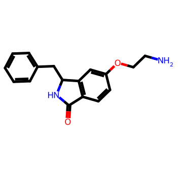 NCCOc1ccc2c(c1)C(Cc1ccccc1)NC2=O